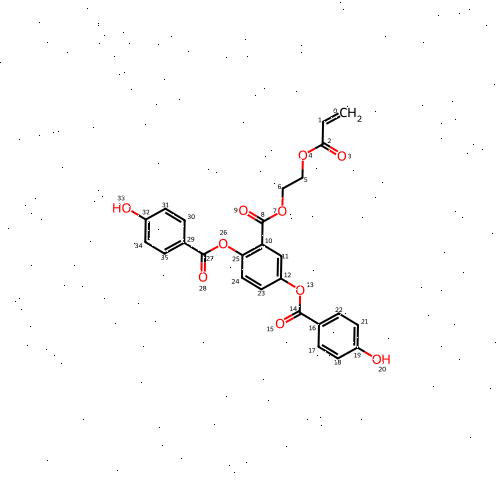 C=CC(=O)OCCOC(=O)c1cc(OC(=O)c2ccc(O)cc2)ccc1OC(=O)c1ccc(O)cc1